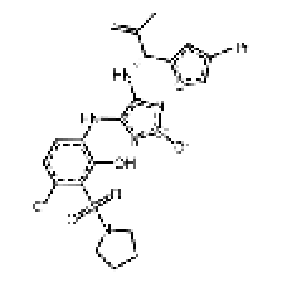 C=C(C)[C@@H](Nc1n[s+]([O-])nc1Nc1ccc(Cl)c(S(=O)(=O)N2CCCC2)c1O)c1cc(C(C)C)co1